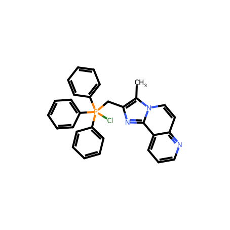 Cc1c(CP(Cl)(c2ccccc2)(c2ccccc2)c2ccccc2)nc2c3cccnc3ccn12